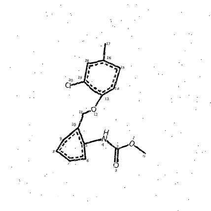 COC(=O)Nc1ccccc1COc1ccc(C)cc1Cl